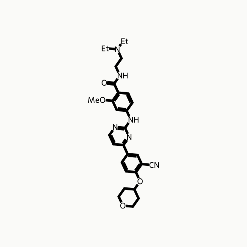 CCN(CC)CCNC(=O)c1ccc(Nc2nccc(-c3ccc(OC4CCOCC4)c(C#N)c3)n2)cc1OC